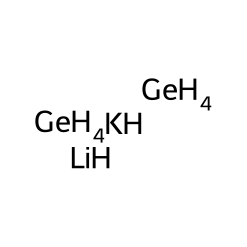 [GeH4].[GeH4].[KH].[LiH]